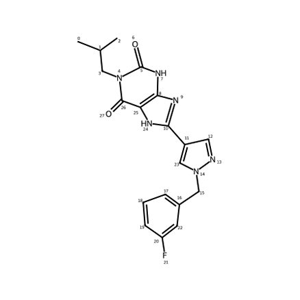 CC(C)Cn1c(=O)[nH]c2nc(-c3cnn(Cc4cccc(F)c4)c3)[nH]c2c1=O